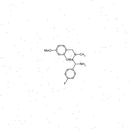 COc1ccc(CN(C)CC(N)c2ccc(F)cc2)c(OC)c1